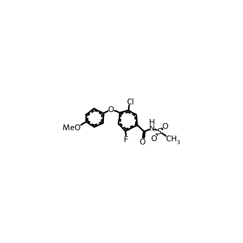 COc1ccc(Oc2cc(F)c(C(=O)NS(C)(=O)=O)cc2Cl)cc1